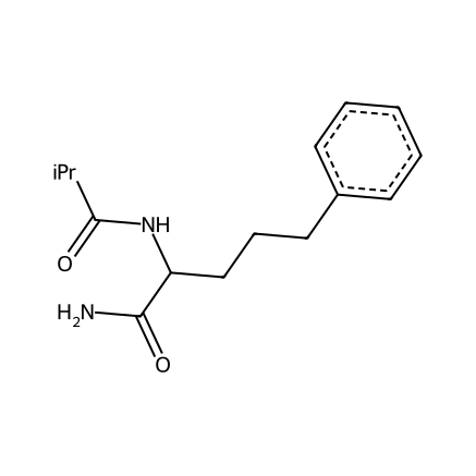 CC(C)C(=O)NC(CCCc1ccccc1)C(N)=O